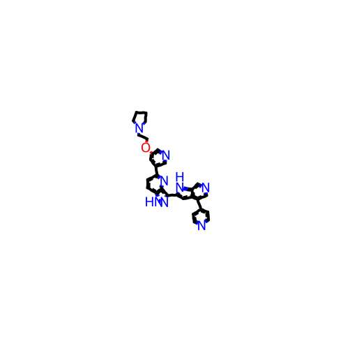 c1cc(-c2cncc3[nH]c(-c4n[nH]c5ccc(-c6cncc(OCCN7CCCC7)c6)nc45)cc23)ccn1